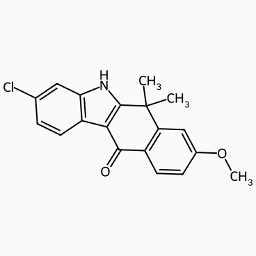 COc1ccc2c(c1)C(C)(C)c1[nH]c3cc(Cl)ccc3c1C2=O